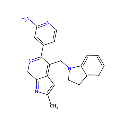 CC1=CC2=C(CN3CCc4ccccc43)C(c3ccnc(N)c3)=NCC2=N1